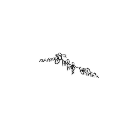 CCCCCCCCC(CCCCCC)C(=O)OCCCCNC(=O)CCC(NC(=O)CN(C)C)C(=O)NCCCCOC(=O)C(CCCCCC)CCCCCCCC